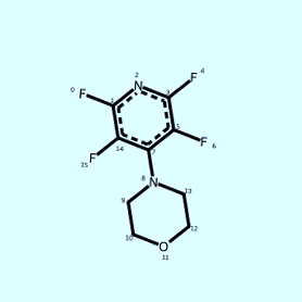 Fc1nc(F)c(F)c(N2CCOCC2)c1F